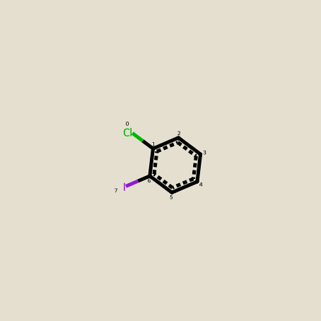 Clc1[c]cc[c]c1I